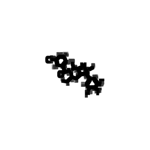 CCC1Cc2c(nn(C)c2-c2cc(F)c(F)c(F)c2)C(C)N1C(=O)c1cccc(Cl)c1